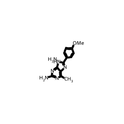 COc1ccc(-c2nc3c(C)nc(N)nc3[nH]2)cc1.N